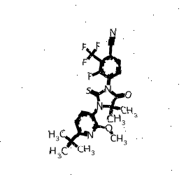 COc1nc(C(C)(C)C)ccc1N1C(=S)N(c2ccc(C#N)c(C(F)(F)F)c2F)C(=O)C1(C)C